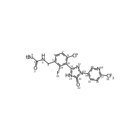 CC(C)(C)C(=O)NCc1ccc(Cl)c(-c2nn(-c3ccc(C(F)(F)F)nc3)c(=O)[nH]2)c1F